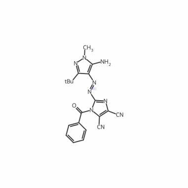 Cn1nc(C(C)(C)C)c(/N=N/c2nc(C#N)c(C#N)n2C(=O)c2ccccc2)c1N